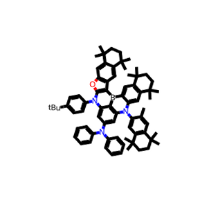 Cc1cc2c(cc1N1c3cc4c(cc3B3c5c1cc(N(c1ccccc1)c1ccccc1)cc5N(c1ccc(C(C)(C)C)cc1)c1oc5cc6c(cc5c13)C(C)(C)CCC6(C)C)C(C)(C)CCC4(C)C)C(C)(C)CCC2(C)C